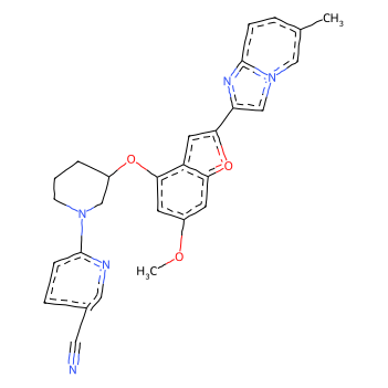 COc1cc(OC2CCCN(c3ccc(C#N)cn3)C2)c2cc(-c3cn4cc(C)ccc4n3)oc2c1